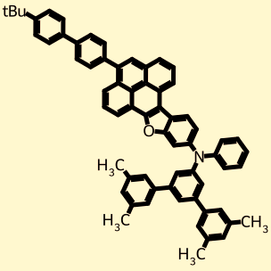 Cc1cc(C)cc(-c2cc(-c3cc(C)cc(C)c3)cc(N(c3ccccc3)c3ccc4c(c3)oc3c5cccc6c(-c7ccc(-c8ccc(C(C)(C)C)cc8)cc7)cc7cccc(c43)c7c65)c2)c1